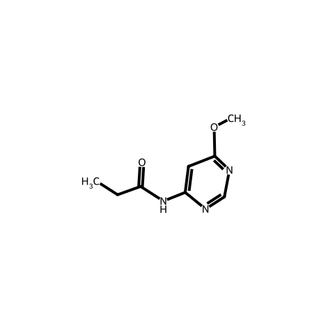 CCC(=O)Nc1cc(OC)ncn1